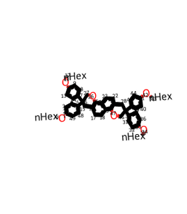 CCCCCCOc1ccc(C2(c3ccc(OCCCCCC)cc3)C=c3ccc4c5c(ccc4c3OC2)=CC(c2ccc(OCCCCCC)cc2)(c2ccc(OCCCCCC)cc2)CO5)cc1